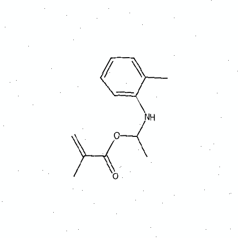 C=C(C)C(=O)OC(C)Nc1ccccc1C